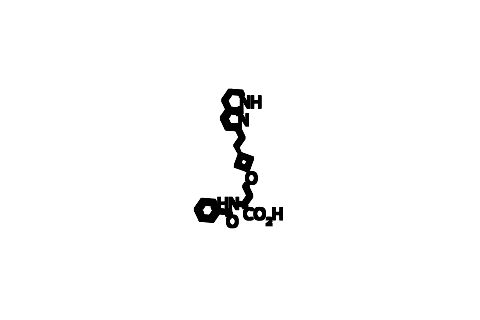 O=C(NC(CCO[C@H]1C[C@H](CCc2ccc3c(n2)NCCC3)C1)C(=O)O)c1ccccc1